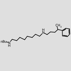 CCCCNCCCCCCCCNCCCC(C)c1ccccc1